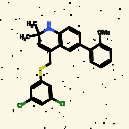 COc1ccccc1-c1ccc2c(c1)C(CSc1cc(Cl)cc(Cl)c1)=CC(C)(C)N2